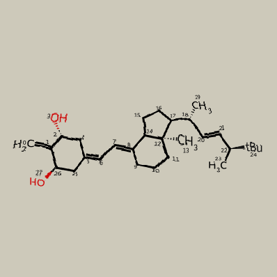 C=C1[C@H](O)CC(=C/C=C2\CCC[C@@]3(C)C2CCC3[C@H](C)/C=C/[C@H](C)C(C)(C)C)C[C@H]1O